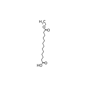 CCOC(=O)CCCCCCCCCCCC(=O)O